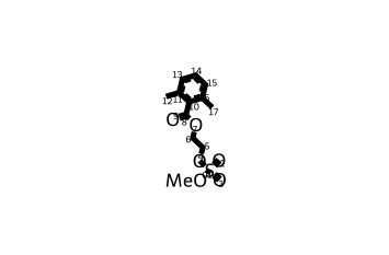 COS(=O)(=O)OCCOC(=O)c1c(C)cccc1C